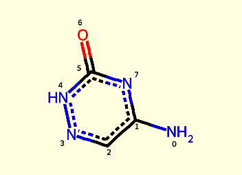 Nc1cn[nH]c(=O)n1